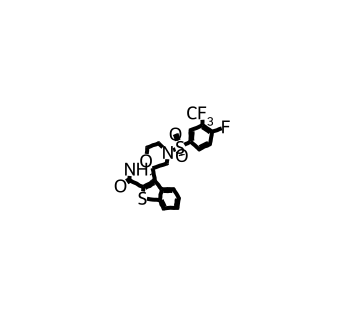 NC(=O)c1sc2ccccc2c1C1CN(S(=O)(=O)c2ccc(F)c(C(F)(F)F)c2)CCO1